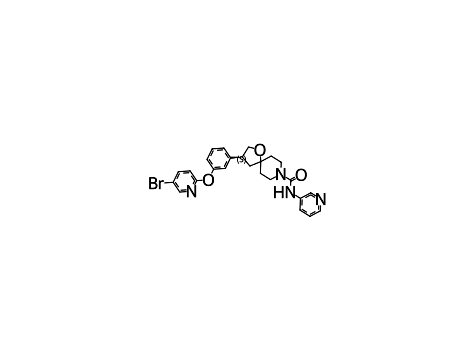 O=C(Nc1cccnc1)N1CCC2(CC1)C[C@@H](c1cccc(Oc3ccc(Br)cn3)c1)CO2